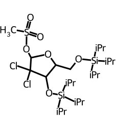 CC(C)[Si](OCC1OC(OS(C)(=O)=O)C(Cl)(Cl)C1O[Si](C(C)C)(C(C)C)C(C)C)(C(C)C)C(C)C